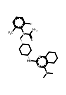 CN(C)c1nc(N[C@H]2CC[C@@H](CN(C(N)=O)c3c(Cl)cccc3C(F)(F)F)CC2)nc2c1CCCC2